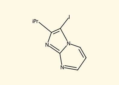 CC(C)c1nc2ncccn2c1I